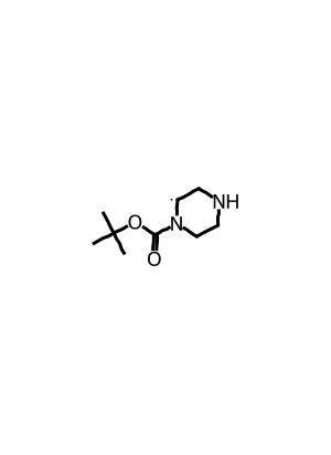 CC(C)(C)OC(=O)N1[CH]CNCC1